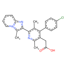 Cc1nc(-c2nc3ccccn3c2C)c(C)c(-c2ccc(Cl)cc2)c1CC(=O)O